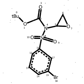 CC(C)(C)OC(=O)N(C1CO1)S(=O)(=O)c1cccc(Br)c1